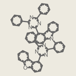 c1ccc(-c2nc(-c3ccccc3-n3c4ccccc4c4c(-c5nc(-c6ccccc6)nc(-c6ccccc6)n5)cccc43)nc(-c3cccc4oc5ccccc5c34)n2)cc1